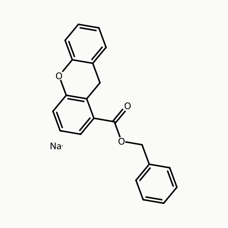 O=C(OCc1ccccc1)c1cccc2c1Cc1ccccc1O2.[Na]